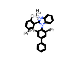 Cc1ccc(C(C)C)cc1-c1n(-c2c(C(C)C)cc(-c3ccccc3)cc2C(C)C)c2ccccc2[n+]1C